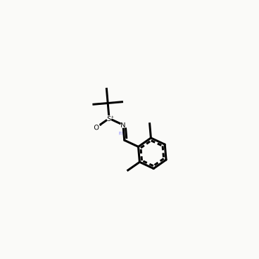 Cc1cccc(C)c1/C=N/[S+]([O-])C(C)(C)C